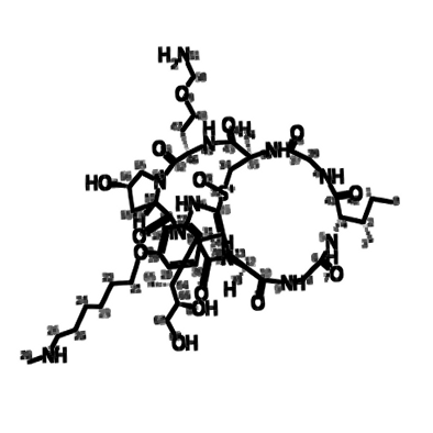 CC[C@H](C)[C@@H]1NC(=O)CNC(=O)[C@@H]2Cc3c([nH]c4cc(OCCCCCCNC)ccc34)[S+]([O-])C[C@H](NC(=O)CNC1=O)C(=O)N[C@@H](CCOCN)C(=O)N1C[C@H](O)C[C@H]1C(=O)N[C@@H]([C@@H](C)[C@@H](O)CO)C(=O)N2